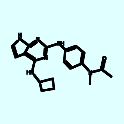 CC(=O)N(C)c1ccc(Nc2nc(NC3CCC3)c3cc[nH]c3n2)cc1